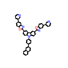 c1cncc(-c2ccc3oc(-c4ccc5c(c4)c4cc(-c6nc7cc(-c8cccnc8)ccc7o6)ccc4n5-c4ccc(-c5ccc6ccccc6c5)cc4)nc3c2)c1